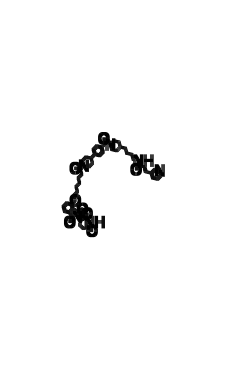 O=C(/C=C/c1cccnc1)NCCCCC1CCN(C(=O)c2ccc(C3CCN(C(=O)CCCCCCOc4cccc5c4C(=O)N(C4CCC(=O)NC4=O)C5=O)CC3)cc2)CC1